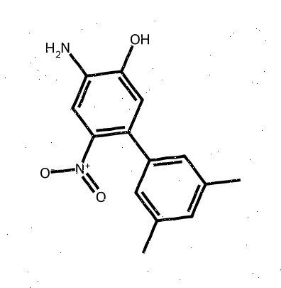 Cc1cc(C)cc(-c2cc(O)c(N)cc2[N+](=O)[O-])c1